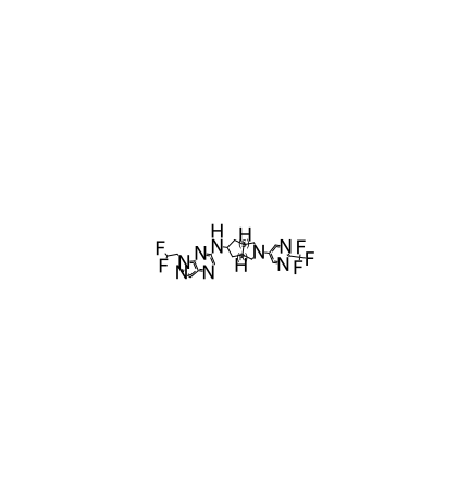 FC(F)Cn1ncc2ncc(NC3C[C@@H]4CN(c5cnc(C(F)(F)F)nc5)C[C@@H]4C3)nc21